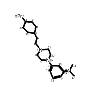 CCCC1CCC(CCN2CCN(c3cccc(N(C)C)c3)CC2)CC1